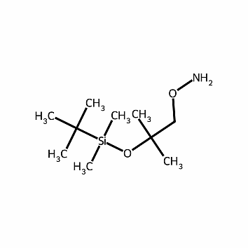 CC(C)(CON)O[Si](C)(C)C(C)(C)C